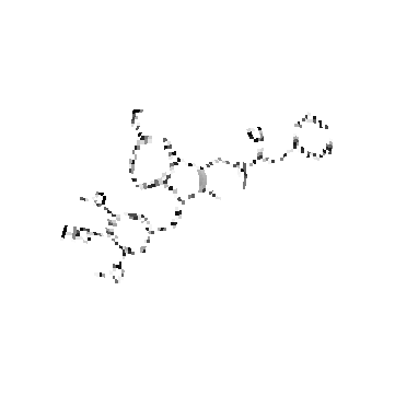 COc1cc(/C=C2/C(C)=C(CNC(=O)Cc3ccccc3)c3cc(F)ccc32)cc(OC)c1O